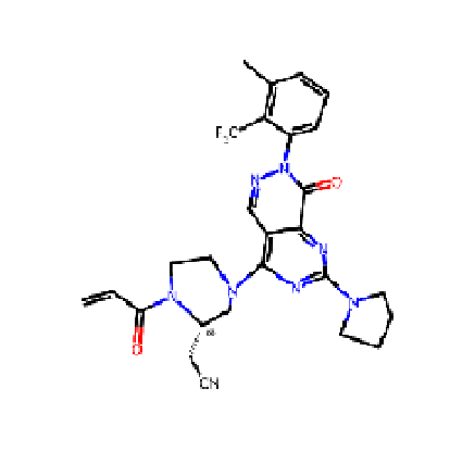 C=CC(=O)N1CCN(c2nc(N3CCCC3)nc3c(=O)n(-c4cccc(C)c4C(F)(F)F)ncc23)C[C@@H]1CC#N